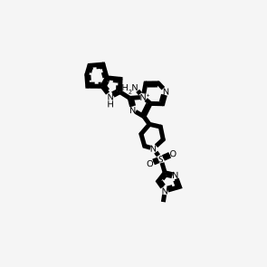 Cn1cnc(S(=O)(=O)N2CCC(C3=C4C=NC=C[N+]4(N)C(c4cc5ccccc5[nH]4)=N3)CC2)c1